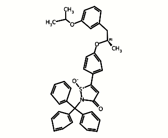 CC(C)Oc1cccc(C[C@@H](C)Oc2ccc(-c3cc(=O)n(C(c4ccccc4)(c4ccccc4)c4ccccc4)[s+]3[O-])cc2)c1